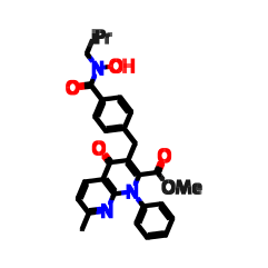 COC(=O)c1c(Cc2ccc(C(=O)N(O)CC(C)C)cc2)c(=O)c2ccc(C)nc2n1-c1ccccc1